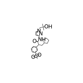 CC(C)(O)Cn1ccc(NC(=O)C(CC2CCCC2)c2cccc(S(C)(=O)=O)c2)n1